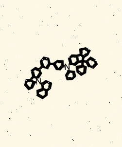 c1ccc(N(c2ccc(-c3cccc(-c4ccc5c6ccccc6n(-c6cccc7ccccc67)c5c4)c3)cc2)c2ccc3c(c2)C(c2ccccc2)(c2ccccc2)c2ccccc2-3)cc1